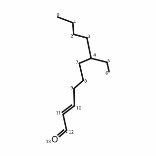 CCCCC(CC)CCCC=C[C]=O